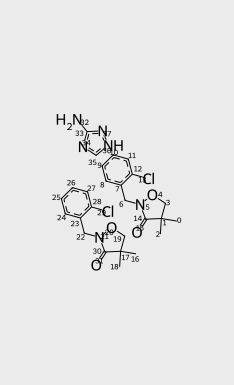 CC1(C)CON(Cc2ccccc2Cl)C1=O.CC1(C)CON(Cc2ccccc2Cl)C1=O.Nc1nc[nH]n1